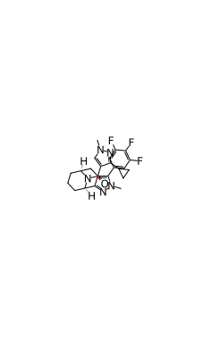 Cn1cc(C(=O)N2[C@H]3CCC[C@@H]2c2nn(C)c(-c4cc(F)c(F)c(F)c4)c2C3)c(C2CC2)n1